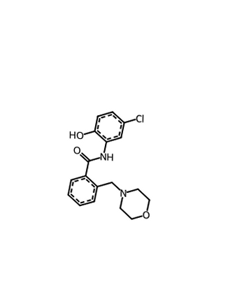 O=C(Nc1cc(Cl)ccc1O)c1ccccc1CN1CCOCC1